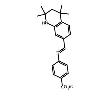 CCOC(=O)c1ccc(N=Cc2ccc3c(c2)NC(C)(C)CC3(C)C)cc1